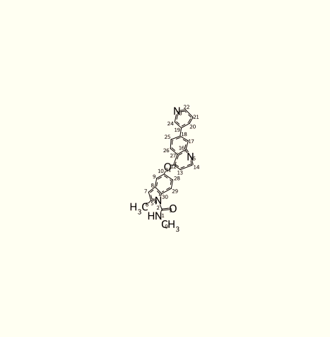 CNC(=O)n1c(C)cc2cc(Oc3ccnc4cc(-c5cccnc5)ccc34)ccc21